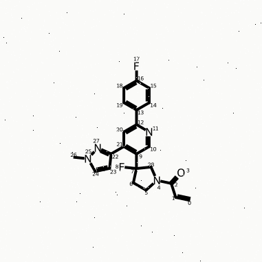 C=CC(=O)N1CCC(F)(c2cnc(-c3ccc(F)cc3)cc2-c2ccn(C)n2)C1